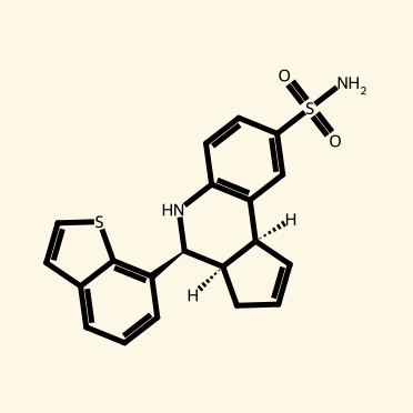 NS(=O)(=O)c1ccc2c(c1)[C@H]1C=CC[C@H]1[C@@H](c1cccc3ccsc13)N2